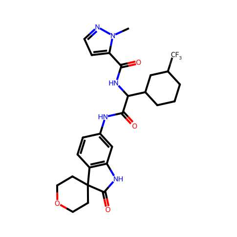 Cn1nccc1C(=O)NC(C(=O)Nc1ccc2c(c1)NC(=O)C21CCOCC1)C1CCCC(C(F)(F)F)C1